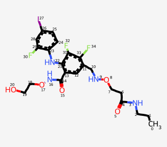 CCCNC(=O)CCONCc1cc(C(=O)NOCCO)c(Nc2ccc(I)cc2F)c(F)c1F